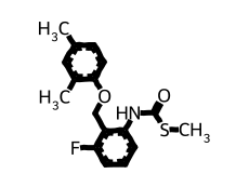 CSC(=O)Nc1cccc(F)c1COc1ccc(C)cc1C